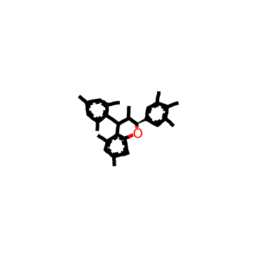 Cc1cc(C)c(C2c3c(C)cc(C)cc3O[C@H](c3cc(C)c(C)c(C)c3)C2C)c(C)c1